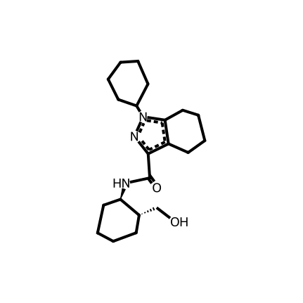 O=C(N[C@@H]1CCCC[C@H]1CO)c1nn(C2CCCCC2)c2c1CCCC2